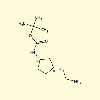 CC(C)(C)OC(=O)N[C@H]1CC[C@@H](CCN)C1